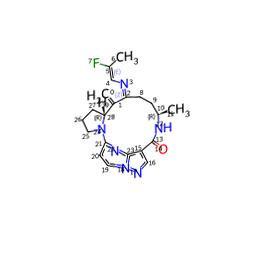 C=C1/C(=N\C=C(/C)F)CC[C@@H](C)NC(=O)c2cnn3ccc(nc23)N2CCC[C@H]12